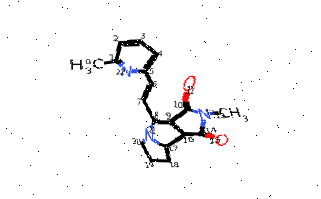 Cc1cccc(C=CC2C3C(=O)N(C)C(=O)C3C3CCCN23)n1